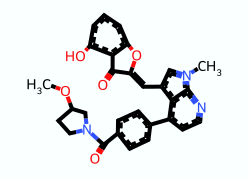 COC1CCN(C(=O)c2ccc(-c3ccnc4c3c(C=C3Oc5cccc(O)c5C3=O)cn4C)cc2)C1